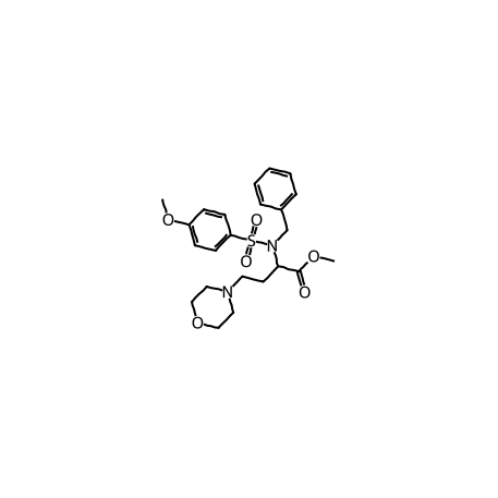 COC(=O)C(CCN1CCOCC1)N(Cc1ccccc1)S(=O)(=O)c1ccc(OC)cc1